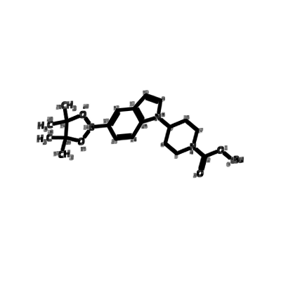 CC(C)(C)OC(=O)N1CCC(n2ccc3cc(B4OC(C)(C)C(C)(C)O4)ccc32)CC1